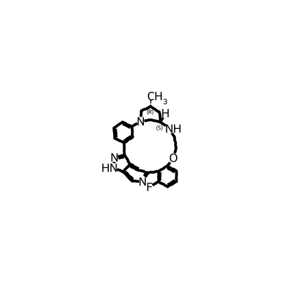 C[C@@H]1C[C@H]2CN(C1)c1cccc(c1)-c1n[nH]c3cnc(cc13)-c1c(F)cccc1OCCN2